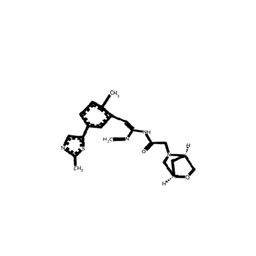 C=N/C(=C\c1cc(-c2cnc(C)s2)ccc1C)NC(=O)CN1C[C@H]2C[C@@H]1CO2